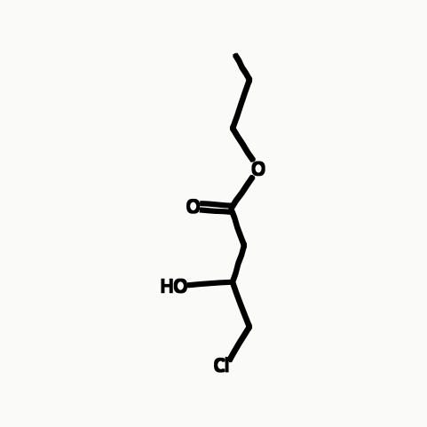 CCCOC(=O)CC(O)CCl